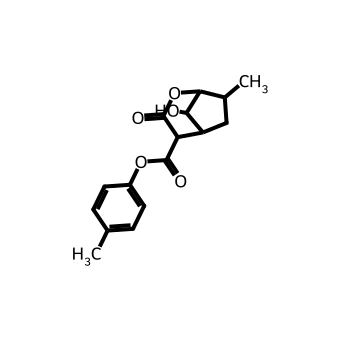 Cc1ccc(OC(=O)C2C(=O)OC3C(C)CC2C3O)cc1